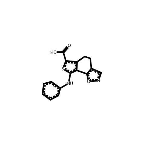 O=C(O)c1sc(Nc2ccccc2)c2c1CCc1cnoc1-2